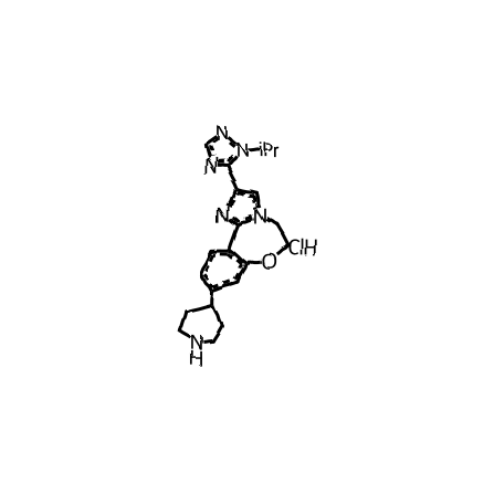 CC(C)n1ncnc1-c1cn2c(n1)-c1ccc(C3CCNCC3)cc1OCC2.Cl